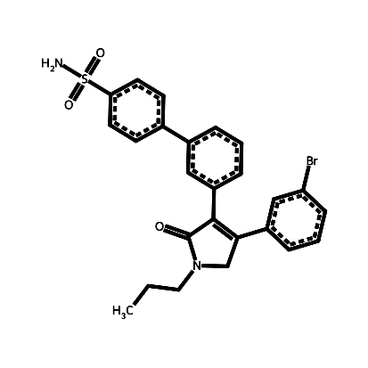 CCCN1CC(c2cccc(Br)c2)=C(c2cccc(-c3ccc(S(N)(=O)=O)cc3)c2)C1=O